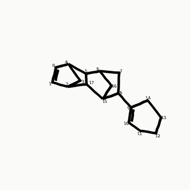 C1=CC2CC1C1C3CC(C4=CCCCC4)C(C3)C21